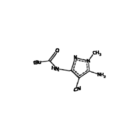 Cn1nc(NC(=O)C(C)(C)C)c(C#N)c1N